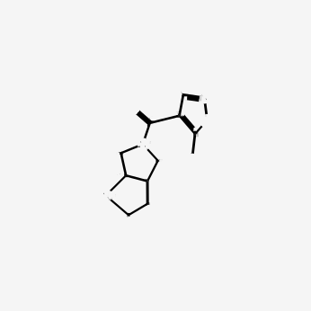 Cc1oncc1C(=O)N1CC2CCNC2C1